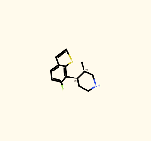 C[C@H]1CNCC[C@H]1c1c(F)ccc2ccsc12